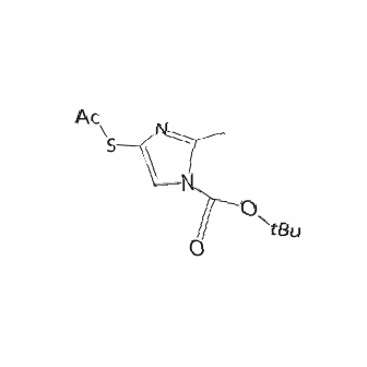 CC(=O)Sc1cn(C(=O)OC(C)(C)C)c(C)n1